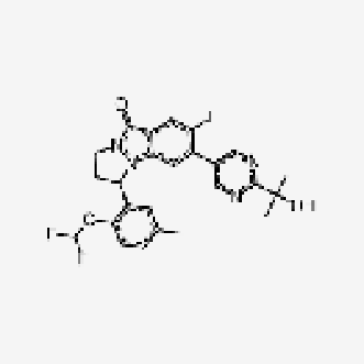 Cc1ccc(OC(F)F)c([C@H]2CCn3c(=O)c4cc(F)c(-c5cnc(C(C)(C)O)nc5)cc4n32)c1